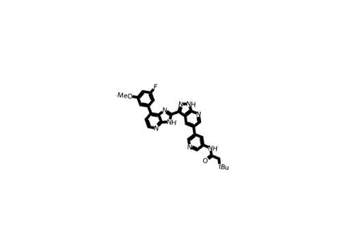 COc1cc(F)cc(-c2ccnc3[nH]c(-c4n[nH]c5ncc(-c6cncc(NC(=O)CC(C)(C)C)c6)cc45)nc23)c1